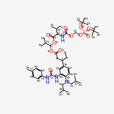 CCC(CC(=O)OC(OC(=O)C(NC(=O)OCOP(=O)(OC(C)(C)C)OC(C)(C)C)C(C)C)C(C)C)c1ccc(N(CC(C)C)CC(C)C)c(NC(=O)Nc2ccc(C)cc2)c1